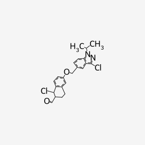 CC(C)n1nc(Cl)c2cc(COc3ccc4c(c3)CCC(C=O)C4Cl)ccc21